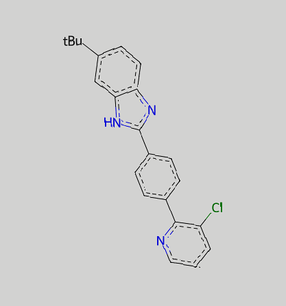 CC(C)(C)c1ccc2nc(-c3ccc(-c4nc[c]cc4Cl)cc3)[nH]c2c1